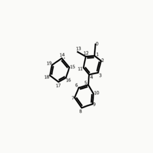 Cc1ccc(-c2ccccc2)cc1C.[c]1ccccc1